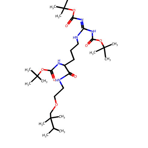 CC(C)C(C)(C)COCCNC(=O)C(CCCN/C(=N\C(=O)OC(C)(C)C)NC(=O)OC(C)(C)C)NC(=O)OC(C)(C)C